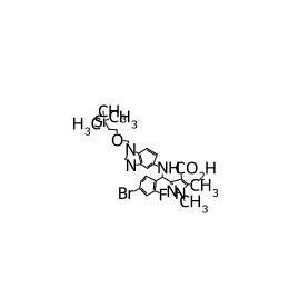 Cc1c(C(=O)O)c(C(Nc2ccc3c(c2)ncn3COCC[Si](C)(C)C)c2ccc(Br)cc2F)nn1C